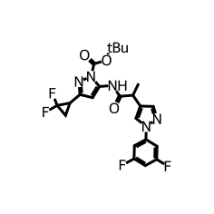 CC(C(=O)Nc1cc(C2CC2(F)F)nn1C(=O)OC(C)(C)C)c1cnn(-c2cc(F)cc(F)c2)c1